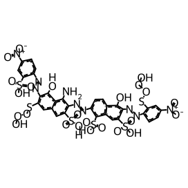 Nc1c(N=Nc2ccc3c(O)c(N=Nc4ccc([N+](=O)[O-])cc4SOOO)c(S(=O)(=O)O)cc3c2S(=O)(=O)O)c(S(=O)(=O)O)cc2cc(SOOO)c(N=Nc3ccc([N+](=O)[O-])cc3S(=O)(=O)O)c(O)c12